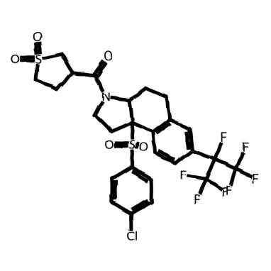 O=C(C1CCS(=O)(=O)C1)N1CCC2(S(=O)(=O)c3ccc(Cl)cc3)c3ccc(C(F)(C(F)(F)F)C(F)(F)F)cc3CCC12